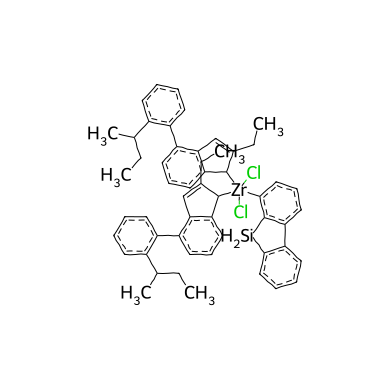 CCC1=Cc2c(-c3ccccc3C(C)CC)cccc2[CH]1[Zr]([Cl])([Cl])([c]1cccc2c1[SiH2]c1ccccc1-2)[CH]1C(CC)=Cc2c(-c3ccccc3C(C)CC)cccc21